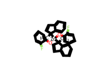 C[C]1([Zr]([O]c2ccccc2F)([O]c2ccccc2F)[C]2(C)C=Cc3ccccc32)C=Cc2ccccc21